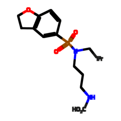 CC(C)CN(CCCNC(=O)O)S(=O)(=O)c1ccc2c(c1)CCO2